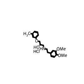 COc1ccc(CCNCC(O)COc2cccc(C)c2)cc1OC.Cl